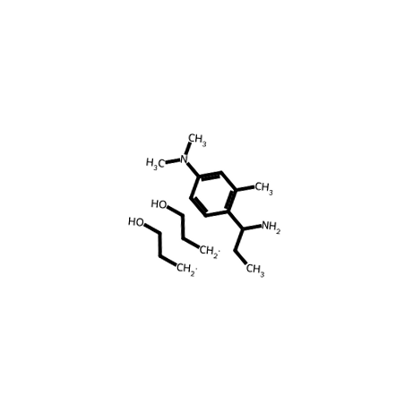 CCC(N)c1ccc(N(C)C)cc1C.[CH2]CCO.[CH2]CCO